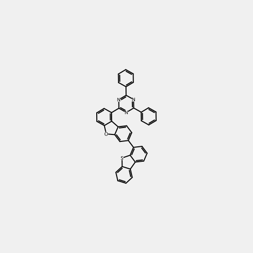 c1ccc(-c2nc(-c3ccccc3)nc(-c3cccc4oc5cc(-c6cccc7c6sc6ccccc67)ccc5c34)n2)cc1